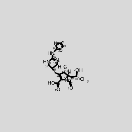 C[C@@H](O)[C@H]1C(=O)N2C(C(=O)O)=C(SC3CN=C(Nc4nccs4)NC3)[C@H](C)[C@H]12